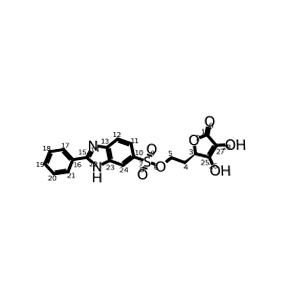 O=C1O[C@H](CCOS(=O)(=O)c2ccc3nc(-c4ccccc4)[nH]c3c2)C(O)=C1O